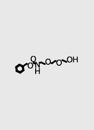 O=C(NCCOCCOCCO)OCc1ccccc1